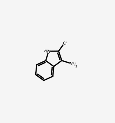 Nc1c(Cl)[nH]c2ccccc12